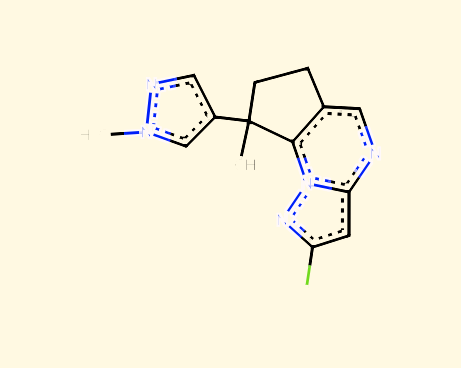 Cn1cc(C2(C)CCc3cnc4cc(F)nn4c32)cn1